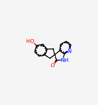 O=C1Nc2ncccc2C12Cc1ccc(O)cc1C2